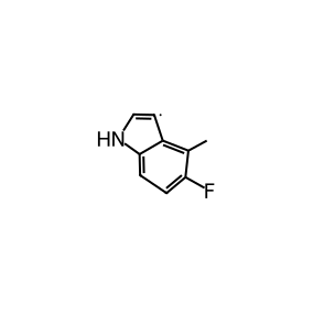 Cc1c(F)ccc2[nH]c[c]c12